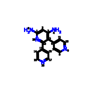 Nc1cc(N)c(-c2ccncc2)c(-c2ccncc2)n1